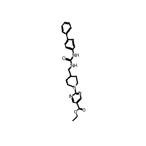 CCOC(=O)c1cnc(N2CCC(CNC(=O)Nc3ccc(-c4ccccc4)cc3)CC2)nc1